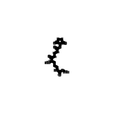 CCCCN(CCCNC(=O)OC(C)(C)C)C(=O)CCCC(=O)ON1C(=O)CCC1=O